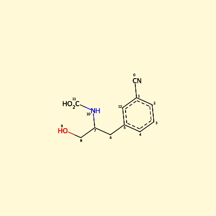 N#Cc1cccc(CC(CO)NC(=O)O)c1